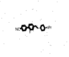 CCC[C@H]1CC[C@H](CCc2ccc(-c3ccc(C#N)cc3)c(F)c2)CC1